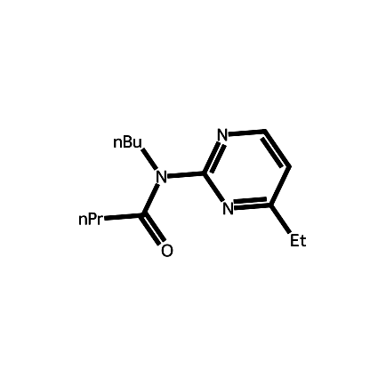 CCCCN(C(=O)CCC)c1nccc(CC)n1